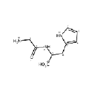 NCC(=O)NC(Cc1ccc[nH]1)C(=O)O